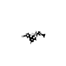 CC(C)c1cc(F)cc(-c2ccnc(C#N)c2)c1CC(=O)NS(=O)(=O)c1cnn(C2CC2)n1